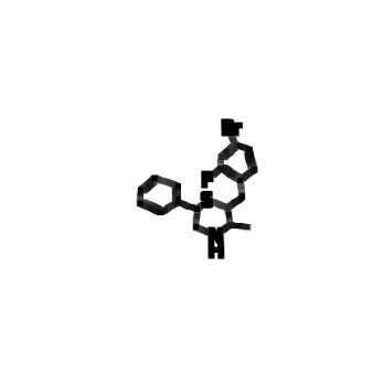 CC1NCC(c2ccccc2)SC1Cc1ccc(Br)cc1F